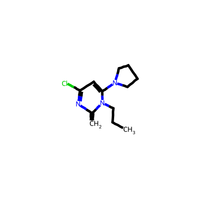 C=C1N=C(Cl)C=C(N2CCCC2)N1CCC